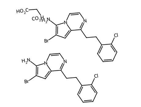 Nc1c(Br)cc2c(CCc3ccccc3Cl)nccn12.Nc1c(Br)cc2c(CCc3ccccc3Cl)nccn12.O=C(O)CC(=O)O